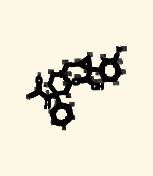 CC(=O)NC1(c2ccccc2)CCN(CC2CC2(C(=O)O)c2cccc(F)c2)CC1